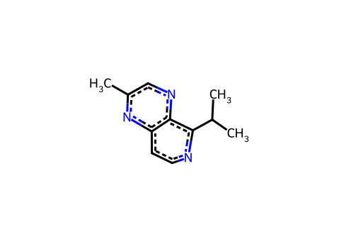 Cc1cnc2c(C(C)C)nccc2n1